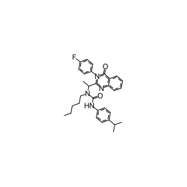 CCCCCN(C(=O)Nc1ccc(C(C)C)cc1)C(C)c1nc2ccccc2c(=O)n1-c1ccc(F)cc1